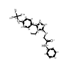 CCn1c(SCC(=O)Nc2ccccc2)nnc1-c1ccc(OC(F)(F)F)nc1